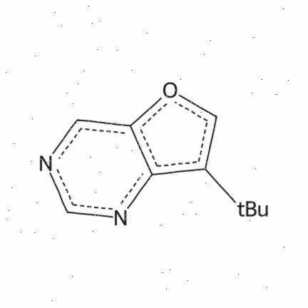 CC(C)(C)c1coc2cncnc12